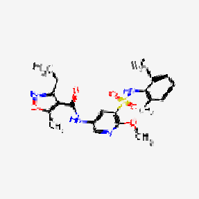 CCc1noc(C)c1C(=O)Nc1cnc(OC)c(S(=O)(=O)Nc2c(C)cccc2C)c1